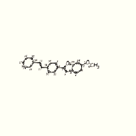 COc1ccc2cc(-c3ccc(C=Cc4cccnc4)cc3)oc2c1